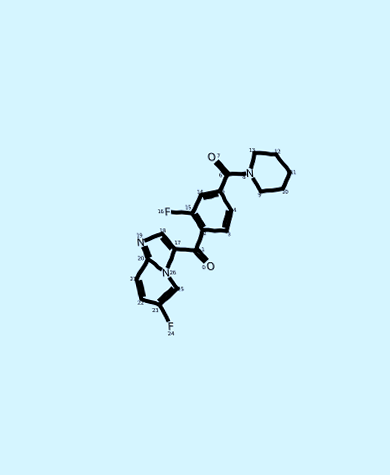 O=C(c1ccc(C(=O)N2CCCCC2)cc1F)c1cnc2ccc(F)cn12